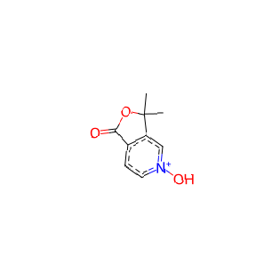 CC1(C)OC(=O)c2cc[n+](O)cc21